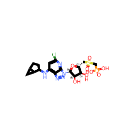 O=P(O)(O)CS(=O)(=O)C[C@H]1O[C@@H](n2nnc3c(NC4CCC5CC54)cc(Cl)nc32)[C@H](O)[C@@H]1O